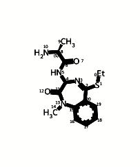 CCSC1=NC(NC(=O)[C@H](C)N)C(=O)N(C)c2ccccc21